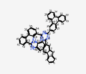 c1ccc2c(c1)Cc1cc(-c3nc(-c4ccc5c6ccccc6c6ccccc6c5c4)nc(-c4cccc5c6ccccc6c6nc7ccccc7n6c45)n3)ccc1-2